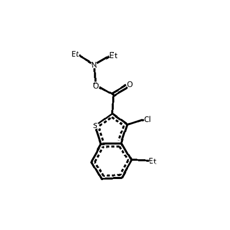 CCc1cccc2sc(C(=O)ON(CC)CC)c(Cl)c12